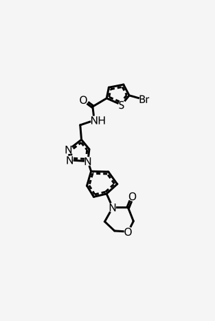 O=C(NCc1cn(-c2ccc(N3CCOCC3=O)cc2)nn1)c1ccc(Br)s1